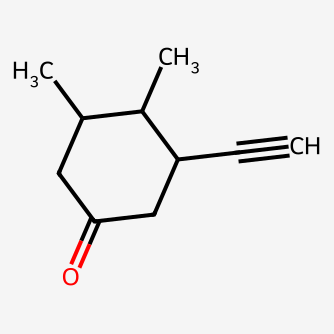 C#CC1CC(=O)CC(C)C1C